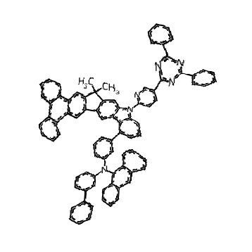 CC1(C)c2cc3c4ccccc4c4ccccc4c3cc2-c2cc3c4c(-c5cccc(N(c6cccc(-c7ccccc7)c6)c6c7ccccc7cc7ccccc67)c5)cccc4n(-c4ccc(-c5nc(-c6ccccc6)nc(-c6ccccc6)n5)cn4)c3cc21